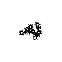 CCc1nc2c(C)cc(-c3cn4c(n3)CCCC4)cc2n1Cc1ccc(-c2ccccc2S(=O)(=O)NC(=O)NC2CCCCC2)cc1